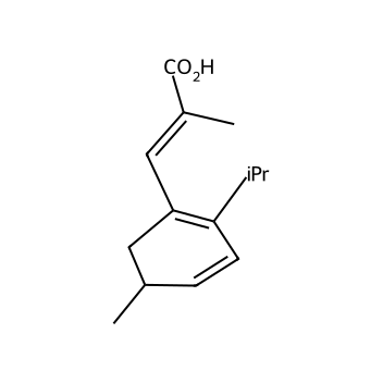 CC(=CC1=C(C(C)C)C=CC(C)C1)C(=O)O